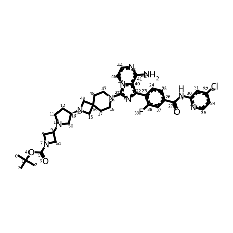 CC(C)(C)OC(=O)N1CC(N2CC[C@@H](N3CC4(CCN(c5nc(-c6ccc(C(=O)Nc7cc(Cl)ccn7)cc6F)c6c(N)nccn56)CC4)C3)C2)C1